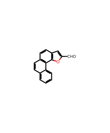 O=Cc1cc2ccc3ccc4ccccc4c3c2o1